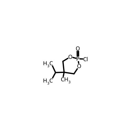 CC(C)C1(C)COP(=O)(Cl)OC1